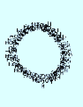 O[Si]1(O)O[Si](O)(O)O[Si](O)(O)O[Si](O)(O)O[Si](O)(O)O[Si](O)(O)O[Si](O)(O)O[Si](O)(O)O[Si](O)(O)O[Si](O)(O)O[Si](O)(O)O[Si](O)(O)O[Si](O)(O)O[Si](O)(O)O[Si](O)(O)O[Si](O)(O)O[Si](O)(O)O[Si](O)(O)O[Si](O)(O)O[Si](O)(O)O1